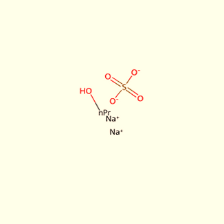 CCCO.O=S(=O)([O-])[O-].[Na+].[Na+]